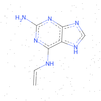 C=CNc1nc(N)nc2nc[nH]c12